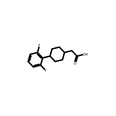 O=C(O)CC1CCC(c2c(F)cccc2F)CC1